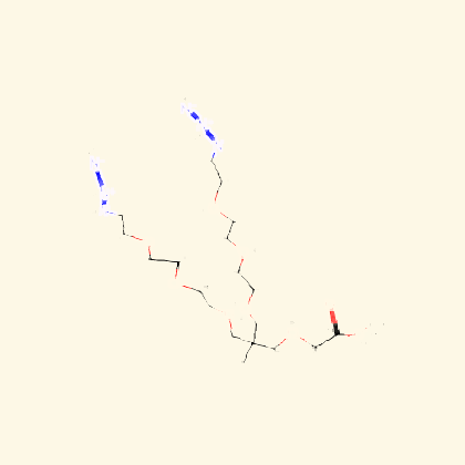 CC(COCCOCCOCCN=[N+]=[N-])(COCCOCCOCCN=[N+]=[N-])COCC(=O)OC(C)(C)C